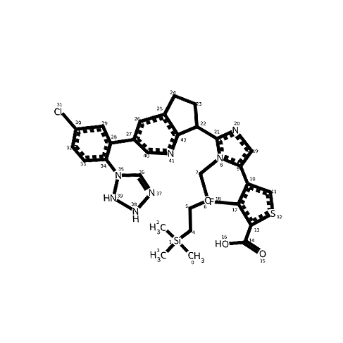 C[Si](C)(C)CCOCn1c(-c2csc(C(=O)O)c2F)cnc1C1CCc2cc(-c3cc(Cl)ccc3N3C=NNN3)cnc21